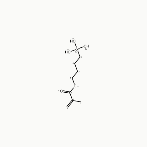 C=C(C)C(=O)OCCCC[Si](O)(O)O